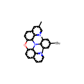 Cc1cnc2c3c(ccc2c1)Oc1ccc2cccnc2c1N3c1c(C)cc(C(C)(C)C)cc1C